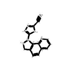 N#Cc1nnc(N2OCc3ccc4cccnc4c32)s1